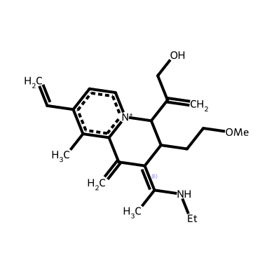 C=Cc1cc[n+]2c(c1C)C(=C)/C(=C(\C)NCC)C(CCOC)C2C(=C)CO